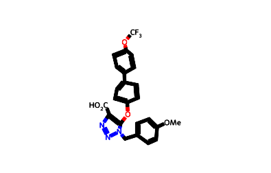 COc1ccc(Cn2nnc(C(=O)O)c2Oc2ccc(-c3ccc(OC(F)(F)F)cc3)cc2)cc1